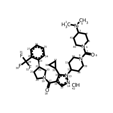 CN(C)C1CCN(C(=O)N2CCC(n3ncc(C(=O)N4CC[C@@H](c5ccccc5C(F)(F)F)C4)c3C3CC3)CC2)CC1.Cl